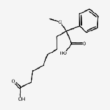 COC(CCCCCCC(=O)O)(C(=O)O)c1ccccc1